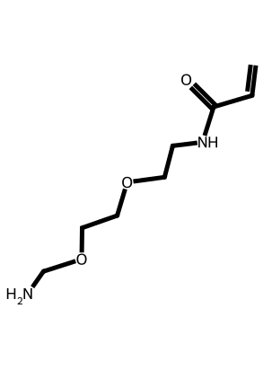 C=CC(=O)NCCOCCOCN